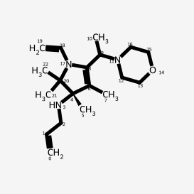 C=CCN[C@@]1(C)C(C)=C(C(C)N2CCOCC2)N(C=C)C1(C)C